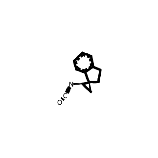 O=C=N[C@@H]1C[C@@]12CCc1ccccc12